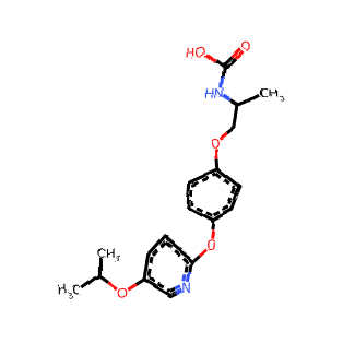 CC(COc1ccc(Oc2ccc(OC(C)C)cn2)cc1)NC(=O)O